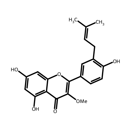 COc1c(-c2ccc(O)c(CC=C(C)C)c2)oc2cc(O)cc(O)c2c1=O